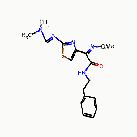 CO/N=C(\C(=O)NCCc1ccccc1)c1csc(/N=C/N(C)C)n1